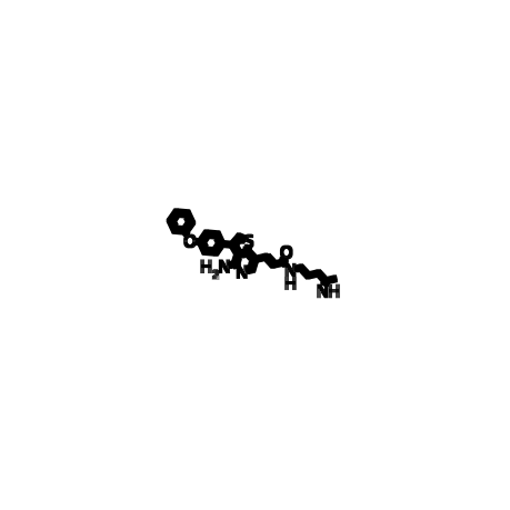 CC(=N)CCCNC(=O)/C=C/c1cnc(N)c2c(-c3ccc(Oc4ccccc4)cc3)csc12